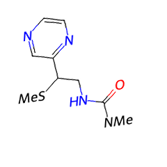 CNC(=O)NCC(SC)c1cnccn1